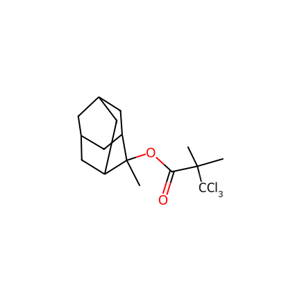 CC1(OC(=O)C(C)(C)C(Cl)(Cl)Cl)C2CC3CC(C2)CC1C3